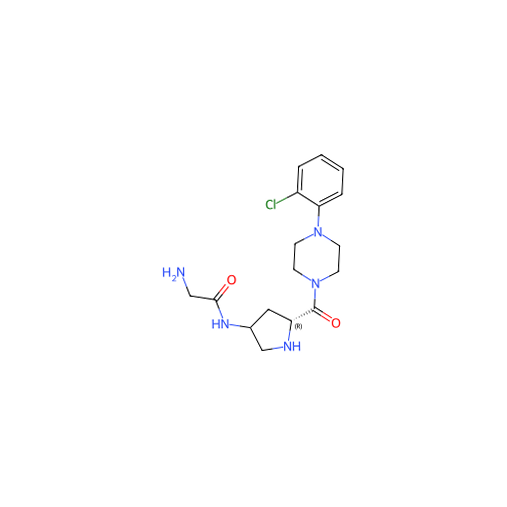 NCC(=O)NC1CN[C@@H](C(=O)N2CCN(c3ccccc3Cl)CC2)C1